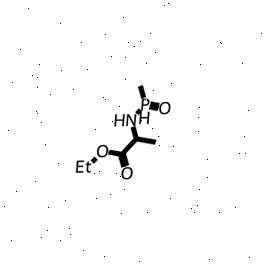 CCOC(=O)C(C)N[PH](C)=O